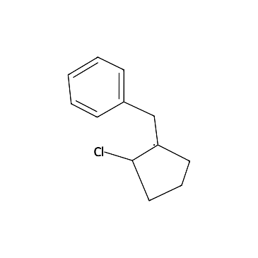 ClC1CCC[C]1Cc1ccccc1